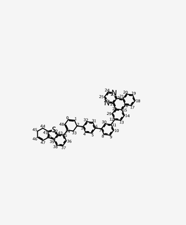 C1=CC(c2ccc(-c3cccc(-c4ccc5c6ccccc6c6nccnc6c5c4)c3)cc2)CC(c2cccc3c4c(sc23)CCC=C4)=C1